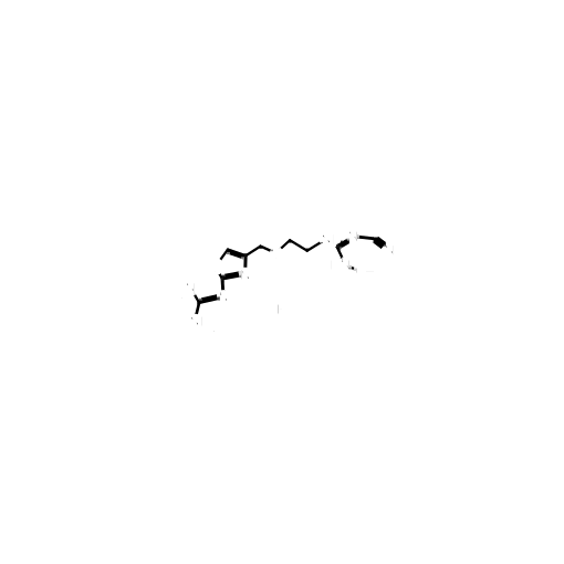 CN/C(=N\C#N)NCCSCc1csc(N=C(N)N)n1.Cl